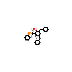 CCCC(C)(Pc1ccc(F)cc1F)c1cc(Cc2ccccc2)cc(Cc2ccccc2)c1O